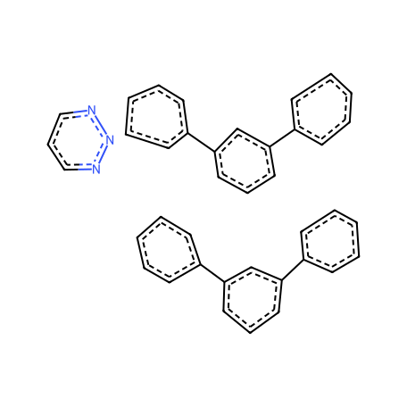 c1ccc(-c2cccc(-c3ccccc3)c2)cc1.c1ccc(-c2cccc(-c3ccccc3)c2)cc1.c1cnnnc1